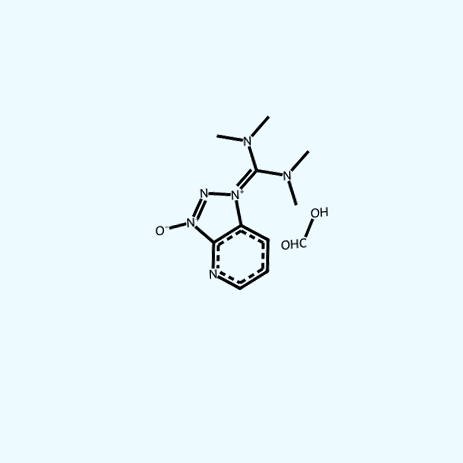 CN(C)C(N(C)C)=[N+]1N=[N+]([O-])c2ncccc21.O=CO